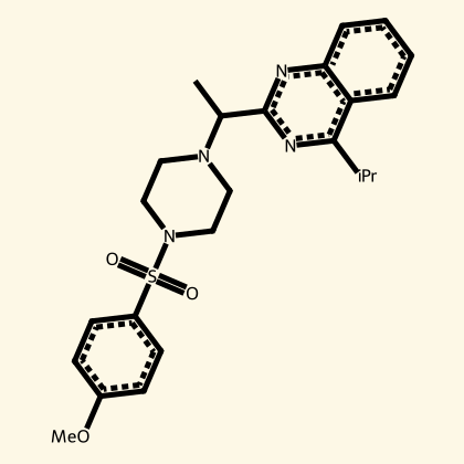 COc1ccc(S(=O)(=O)N2CCN(C(C)c3nc(C(C)C)c4ccccc4n3)CC2)cc1